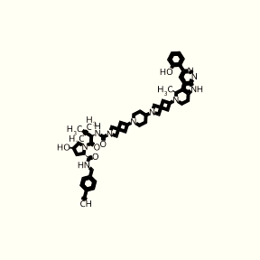 C#Cc1ccc(CNC(=O)[C@@H]2C[C@@H](O)CN2C(=O)[C@@H](NC(=O)N2CC3(CC(N4CCC(N5CC6(CC(N7CCc8[nH]c9nnc(-c%10ccccc%10O)cc9c8[C@H]7C)C6)C5)CC4)C3)C2)C(C)(C)C)cc1